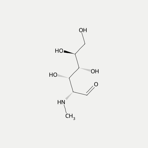 CN[C@@H](C=O)[C@H](O)[C@@H](O)[C@@H](O)CO